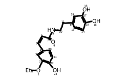 CCOc1cc(/C=C\C(=O)NCCc2ccc(O)c(O)c2)ccc1O